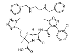 Cc1onc(-c2ccccc2Cl)c1C(=O)NC1C(=O)N2C(C(=O)O)C(C)(CSc3nnnn3C)S[C@@H]12.c1ccc(CNCCNCc2ccccc2)cc1